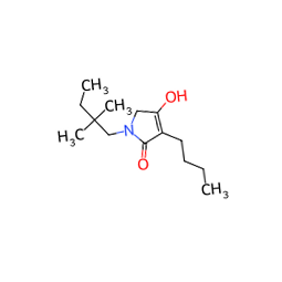 CCCCC1=C(O)CN(CC(C)(C)CC)C1=O